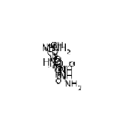 CC(C)C[C@@H](NC(=O)[C@@H](CCc1ccccc1)NC(=O)[C@@H](Cc1ccccc1)NCCCN)C(=O)N[C@H](CCCCCN)C(=O)N1CCC(N)(C(=O)O)CC1